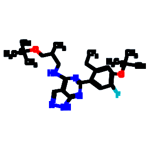 CC(CNc1nc(-c2cc(F)c(O[Si](C)(C)C(C)(C)C)cc2CC(F)(F)F)nc2[nH]ncc12)CO[Si](C)(C)C(C)(C)C